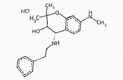 CNc1ccc2c(c1)OC(C)(C)C(O)[C@H]2NCCc1ccccc1.Cl